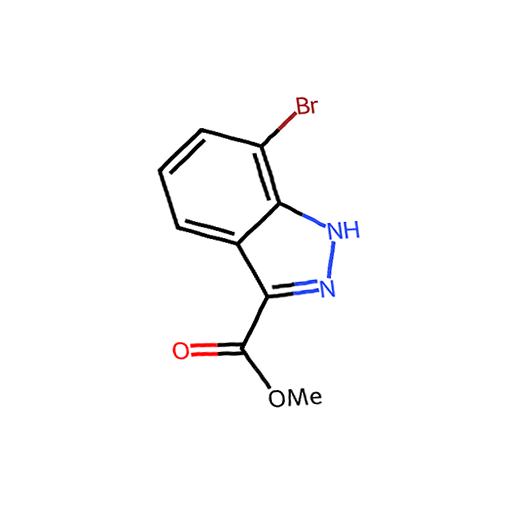 COC(=O)c1n[nH]c2c(Br)cccc12